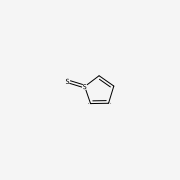 S=S1[C]=[C]C=C1